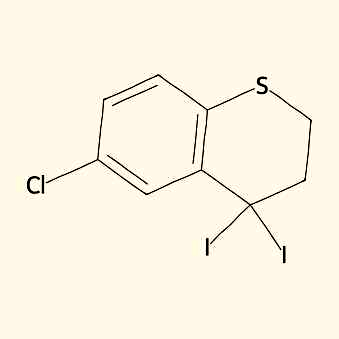 Clc1ccc2c(c1)C(I)(I)CCS2